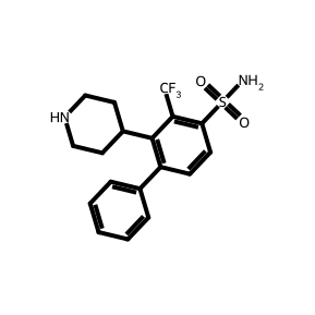 NS(=O)(=O)c1ccc(-c2ccccc2)c(C2CCNCC2)c1C(F)(F)F